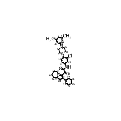 Cc1cc(C)nc(N2CCN(c3ccc(NC(=O)C(=O)c4c(-c5ccccc5)cc5n4CCCC5)cc3Cl)CC2)c1